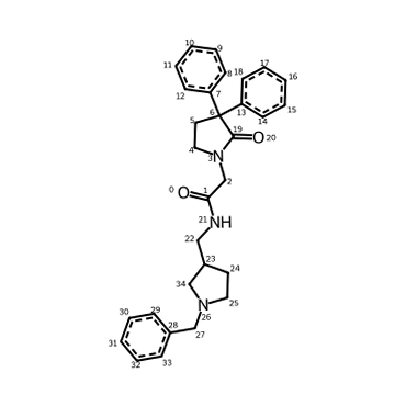 O=C(CN1CCC(c2ccccc2)(c2ccccc2)C1=O)NCC1CCN(Cc2ccccc2)C1